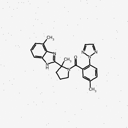 Cc1ccc(-n2nccn2)c(C(=O)N2CCCC2(C)c2nc3c(C)cccc3[nH]2)c1